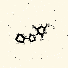 Nc1cc(F)c(N2CCC(c3ccccc3)C2)c(F)c1